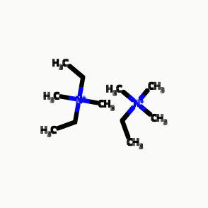 CC[N+](C)(C)C.CC[N+](C)(C)CC